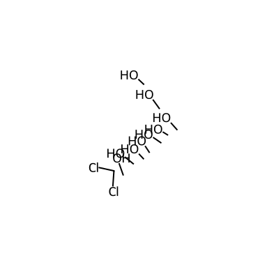 CO.CO.CO.CO.CO.CO.CO.CO.CO.ClCCl